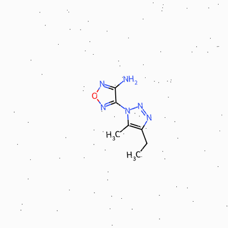 CCc1nnn(-c2nonc2N)c1C